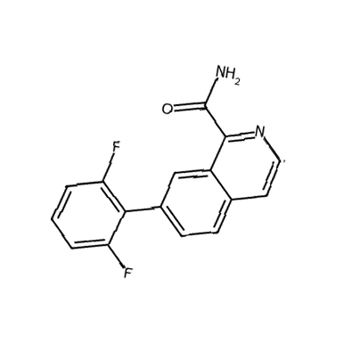 NC(=O)c1n[c]cc2ccc(-c3c(F)cccc3F)cc12